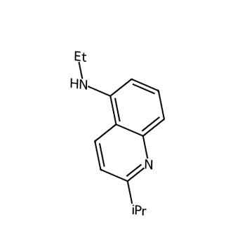 CCNc1cccc2nc(C(C)C)ccc12